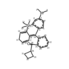 CN(C)c1ccc2c(c1)[SH](C)(C)(C)C1=CCC=CC1=C2c1ccccc1C(=O)C1CCC1